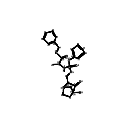 C[C@H](NP(=O)(OC[C@H]1C(=O)[C@@H]2CCN1C2)Oc1ccccc1)C(=O)OCc1ccccc1